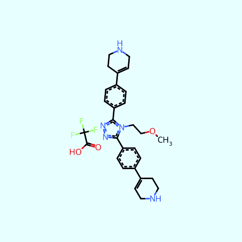 COCCn1c(-c2ccc(C3=CCNCC3)cc2)nnc1-c1ccc(C2=CCNCC2)cc1.O=C(O)C(F)(F)F